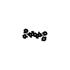 Cc1ccccc1N(c1cc(C)c2c(c1)C(C)(C)c1cc3c(cc1-2)C(C)(C)c1cc(N(c2ccccc2C)c2ccccc2C)cc(C)c1-3)c1ccccc1C